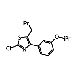 CC(C)Cc1sc(Cl)nc1-c1cccc(OC(C)C)c1